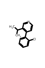 CC(C)c1[c]nccc1-c1ccccc1Cl